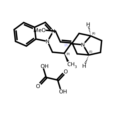 COC/C=C1\C[C@H]2CC[C@@H](C1)N2C[C@@H](C)Cn1ncc2ccccc21.O=C(O)C(=O)O